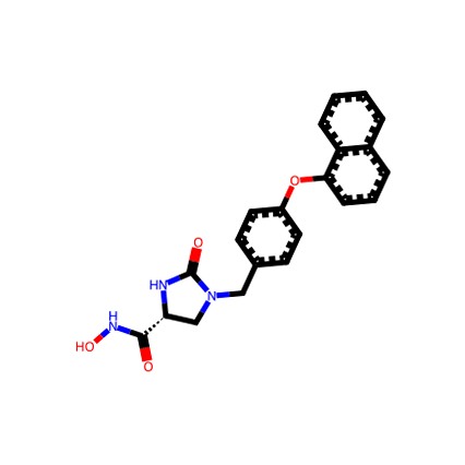 O=C(NO)[C@H]1CN(Cc2ccc(Oc3cccc4ccccc34)cc2)C(=O)N1